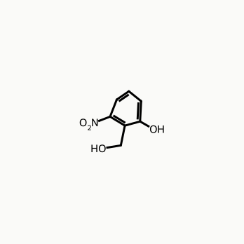 O=[N+]([O-])c1cccc(O)c1CO